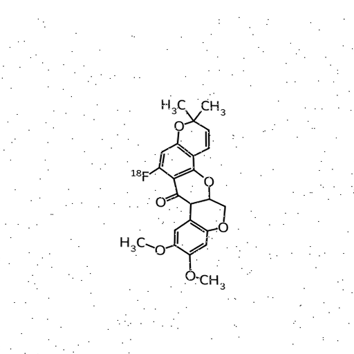 COc1cc2c(cc1OC)C1C(=O)c3c([18F])cc4c(c3OC1CO2)C=CC(C)(C)O4